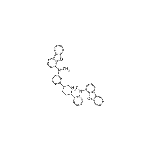 CN(c1cccc(C2CCC(c3ccccc3N(C)c3cccc4c3oc3ccccc34)CC2)c1)c1cccc2c1oc1ccccc12